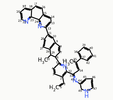 C=Cc1ccc(C2C=Cc3cc(-c4ccc5ccc6cccnc6c5n4)ccc3C2C)nc1C(/C=C(\C)c1ccccc1)=N/C1=CC=CNC1